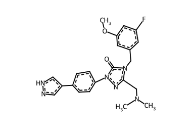 COc1cc(F)cc(Cn2c(CN(C)C)nn(-c3ccc(-c4cn[nH]c4)cc3)c2=O)c1